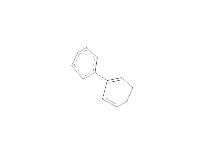 [CH]1C=CC(c2ccccc2)=CC1